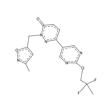 Cc1cc(Cn2nc(-c3cnc(OCC(C)(F)F)nc3)ccc2=O)on1